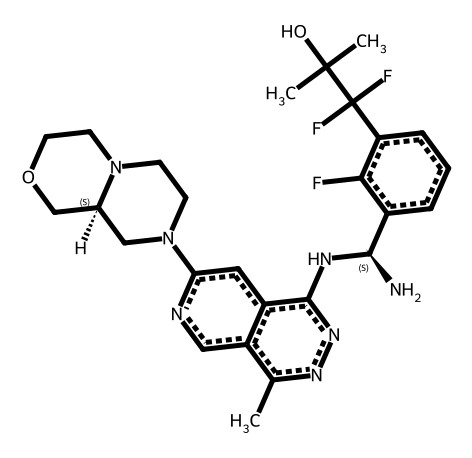 Cc1nnc(N[C@H](N)c2cccc(C(F)(F)C(C)(C)O)c2F)c2cc(N3CCN4CCOC[C@@H]4C3)ncc12